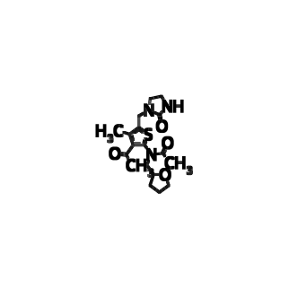 CC(=O)c1c(N(CC2CCCO2)C(C)=O)sc(CN2CCNC2=O)c1C